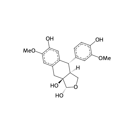 COc1cc([C@H]2c3cc(O)c(OC)cc3C[C@]3(O)[C@@H]2CO[C@@H]3O)ccc1O